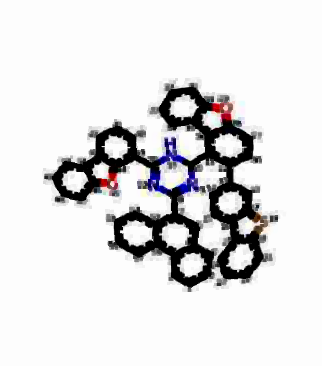 c1ccc2c(c1)cc(C1=NC(c3c(-c4ccc5c(c4)sc4ccccc45)ccc4oc5ccccc5c34)NC(c3cccc4c3oc3ccccc34)=N1)c1ccccc12